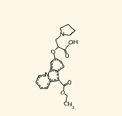 CCOC(=O)c1c2ccc(OC(CN3CCCC3)C(=O)O)cc2n2ccccc12